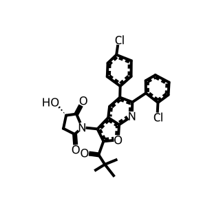 CC(C)(C)C(=O)c1oc2nc(-c3ccccc3Cl)c(-c3ccc(Cl)cc3)cc2c1N1C(=O)C[C@H](O)C1=O